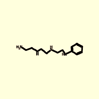 NCCNCCNCCNc1ccccc1